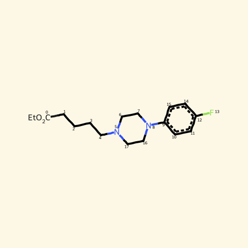 CCOC(=O)CCCCN1CCN(c2ccc(F)cc2)CC1